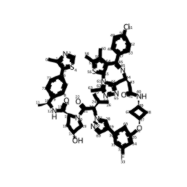 Cc1ncsc1-c1ccc([C@H](C)NC(=O)[C@@H]2C[C@@H](O)CN2C(=O)[C@@H](C(C)C)n2cc(-c3cc(F)cc(O[C@H]4C[C@@H](NC(=O)C[C@@H]5N=C(c6ccc(Cl)cc6)c6c(sc(C)c6C)-n6c(C)nnc65)C4)c3)cn2)cc1